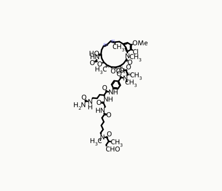 COc1cc2cc(c1Cl)N(C)C(=O)C[C@H](OC(=O)[C@H](C)N(C)C(=O)c1ccc(NC(=O)C(CCCNC(N)=O)NC(=O)CNC(=O)CCCCCN(C)C(=O)C(C)CC=O)cc1)[C@]1(C)OC1[C@H](C)C1C[C@](O)(C/C=C/C=C(\C)C2)NC(=O)O1